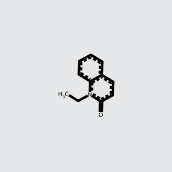 CCn1c(=O)ccc2ccccc21